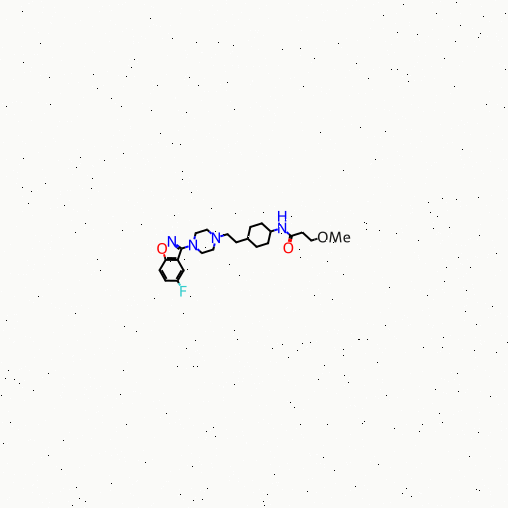 COCCC(=O)NC1CCC(CCN2CCN(c3noc4ccc(F)cc34)CC2)CC1